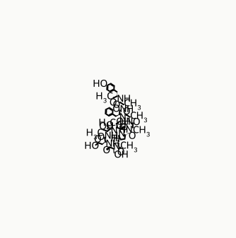 CC(=O)N[C@@H](CO)C(=O)N[C@@H](CC(=O)O)C(=O)N[C@H](C(=O)N[C@H](C(=O)N1CCC[C@H]1C(=O)N[C@@H](C)C(=O)N[C@@H](C)C(=O)N[C@@H](Cc1ccccc1)C(=O)N[C@@H](C)C(=O)N[C@@H](Cc1ccc(O)cc1)C(C)=O)[C@@H](C)O)[C@@H](C)O